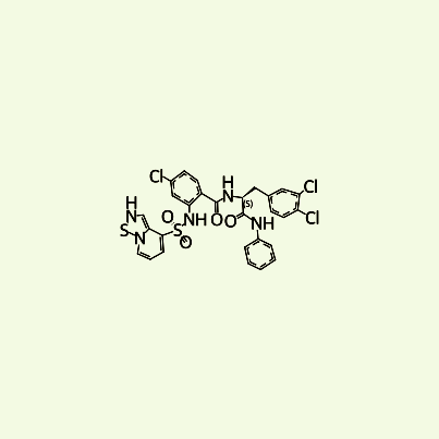 O=C(N[C@@H](Cc1ccc(Cl)c(Cl)c1)C(=O)Nc1ccccc1)c1ccc(Cl)cc1NS(=O)(=O)C1=CC=CN2SNC=C12